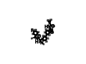 C[C@H](NC(=O)c1cn(C)c2ccc(-c3ccc4c(NC(=O)C5CC5)noc4c3)cc12)c1cccc(F)c1